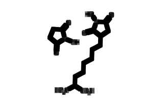 O=C(O)C(CCCCCCC1CC(=O)N(O)C1=O)C(=O)O.O=C1CCC(=O)N1O